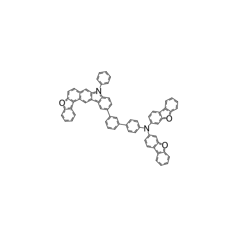 c1ccc(-n2c3ccc(-c4cccc(-c5ccc(N(c6ccc7c(c6)oc6ccccc67)c6ccc7c(c6)oc6ccccc67)cc5)c4)cc3c3cc4c(ccc5oc6ccccc6c54)cc32)cc1